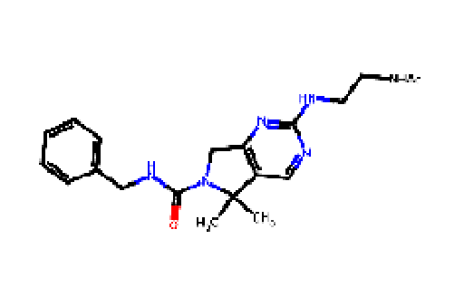 CC(=O)NCCNc1ncc2c(n1)CN(C(=O)NCc1ccccc1)C2(C)C